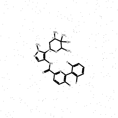 CC1O[C@@H](c2c(NC(=O)c3ccc(F)c(-c4c(F)cccc4F)n3)cnn2C)C[C@@H](N)C1(C)O